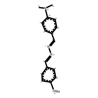 COc1ccc(/C=N/N=C/c2ccc(N(C)C)cc2)cc1